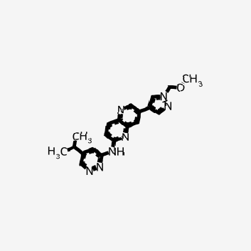 COCn1cc(-c2cnc3ccc(Nc4cc(C(C)C)cnn4)nc3c2)cn1